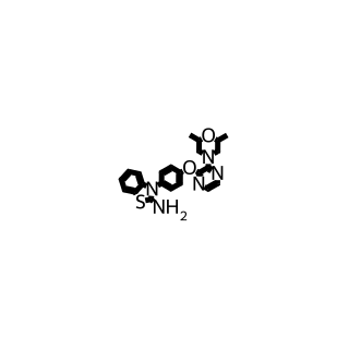 CC1CN(c2nccnc2Oc2ccc(N3c4ccccc4SC3N)cc2)CC(C)O1